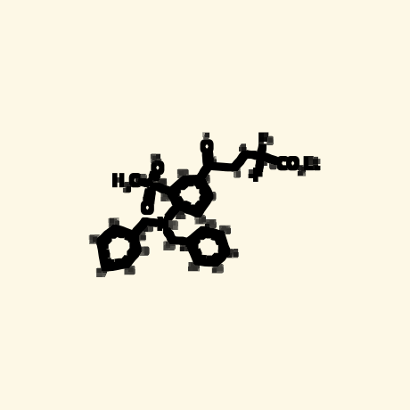 CCOC(=O)C(F)(F)CCC(=O)c1ccc(N(Cc2ccccc2)Cc2ccccc2)c(S(C)(=O)=O)c1